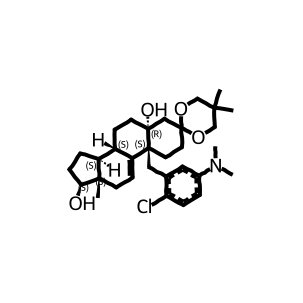 CN(C)c1ccc(Cl)c(C[C@]23CCC4(C[C@]2(O)CC[C@@H]2C3=CC[C@]3(C)[C@@H](O)CC[C@@H]23)OCC(C)(C)CO4)c1